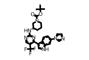 CC(C)(C)OC(=O)N1CCC[C@H](Nc2ncc(C(F)(F)F)c(-c3c[nH]c4cc(-n5ccnc5)ccc34)n2)C1